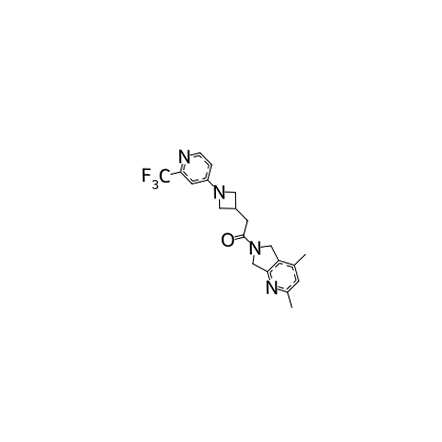 Cc1cc(C)c2c(n1)CN(C(=O)CC1CN(c3ccnc(C(F)(F)F)c3)C1)C2